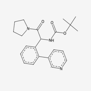 CC(C)(C)OC(=O)NC(C(=O)N1CCCC1)c1ccccc1-c1[c]nccc1